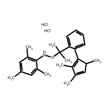 CC1=CC(C)C(c2ccccc2[C](C)(C)[Ti][NH]c2c(C)cc(C)cc2C)=C1C.Cl.Cl